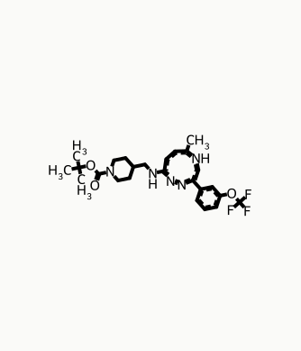 Cc1ccc(NCC2CCN(C(=O)OC(C)(C)C)CC2)nnc(-c2cccc(OC(F)(F)F)c2)c[nH]1